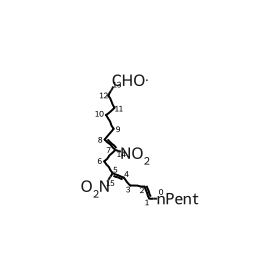 CCCCC/C=C/C/C=C(/C/C(=C/CCCC[C]=O)[N+](=O)[O-])[N+](=O)[O-]